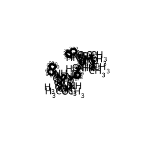 CN[C@@H](C)C(=O)N[C@H](C(=O)N1C[C@@H](NC(=O)c2cccc(C(=O)N[C@H]3C[C@@H](C(=O)N[C@@H]4CCCc5ccccc54)N(C(=O)[C@@H](NC(=O)[C@H](C)NC)C(C)(C)C)C3)n2)CC1C(=O)N[C@@H]1CCCc2ccccc21)C(C)(C)C